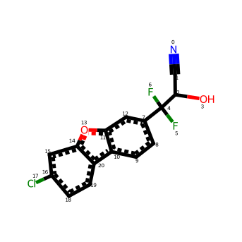 N#CC(O)C(F)(F)c1ccc2c(c1)oc1cc(Cl)ccc12